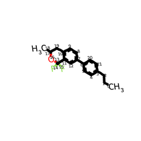 CCCc1ccc(-c2ccc3c(c2)C(F)(F)OC(C)C3)cc1